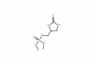 COP(=O)(OC)OCC1COC(=O)O1